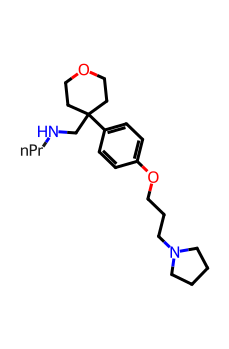 CCCNCC1(c2ccc(OCCCN3CCCC3)cc2)CCOCC1